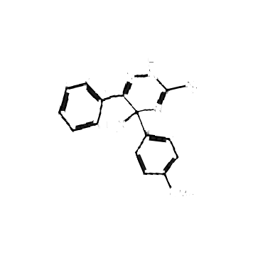 COc1ccc(C2(N)N=C(N)NN=C2c2ccccc2)cc1